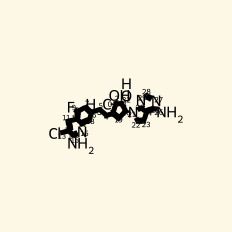 C[C@@]1(O)C(CCc2cc(F)c3cc(Cl)c(N)nc3c2)=C[C@@H](n2ccc3c(N)ncnc32)[C@@H]1O